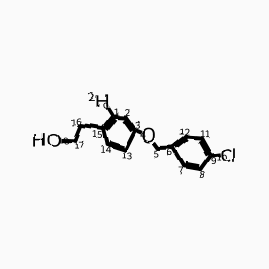 [2H]c1cc(OCc2ccc(Cl)cc2)ccc1CCO